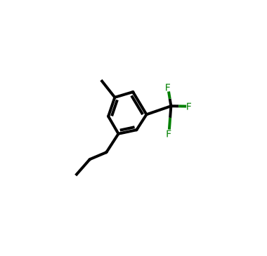 CCCc1cc(C)cc(C(F)(F)F)c1